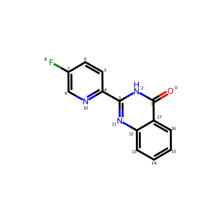 O=c1[nH]c(-c2ccc(F)cn2)nc2ccccc12